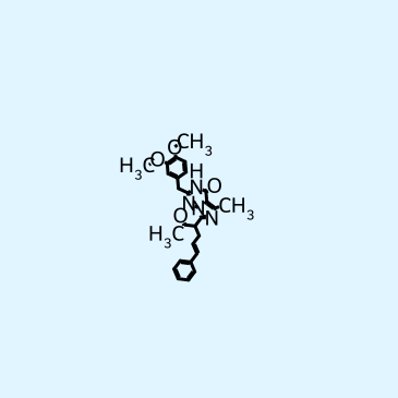 COc1ccc(Cc2nn3c(C(C/C=C/c4ccccc4)C(C)=O)nc(C)c3c(=O)[nH]2)cc1OC